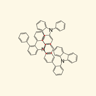 c1ccc(-c2ccccc2-c2c(-c3ccccc3)cccc2N(c2ccc(-c3ccccc3-n3c4ccccc4c4ccccc43)cc2)c2ccc3c(c2)c2ccccc2n3-c2ccccc2)cc1